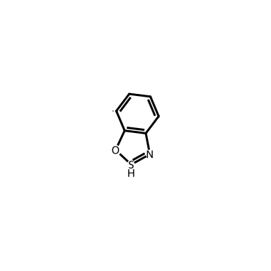 [c]1cccc2c1O[SH]=N2